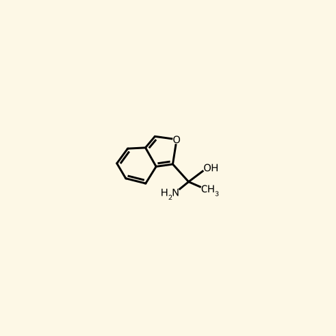 CC(N)(O)c1occ2ccccc12